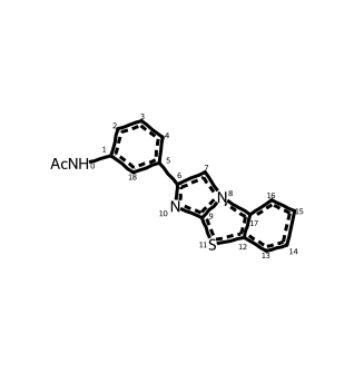 CC(=O)Nc1cccc(-c2cn3c(n2)sc2ccccc23)c1